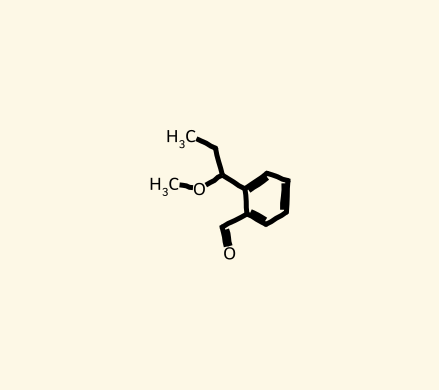 CCC(OC)c1ccccc1C=O